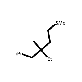 CCC(C)(CCSC)CC(C)C